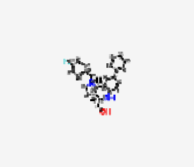 OC[C@@H]1Nc2ccc(-c3ccccc3)cc2[C@H]2[C@@H]1CCN2Cc1ccc(F)cc1